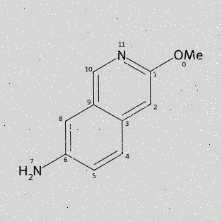 COc1cc2ccc(N)cc2cn1